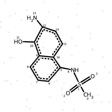 CS(=O)(=O)Nc1cccc2c(O)c(N)ccc12